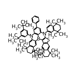 CC(C)(C)c1cc(N2c3cc4c(cc3B3c5c2cc(-c2ccccc2)cc5N(c2ccc5c(c2)C(C)(C)CCC5(C)C)c2sc5cc6c(cc5c23)C(C)(C)CCC6(C)C)C(C)(C)CCC4(C)C)cc(C(C)(C)C)c1